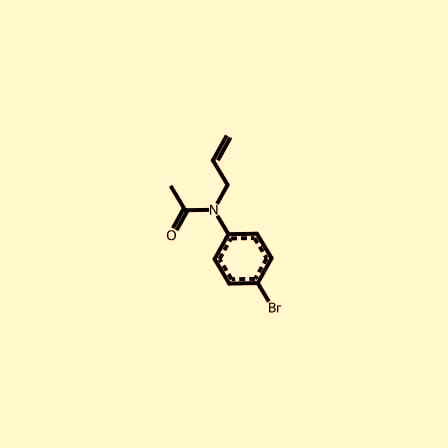 C=CCN(C(C)=O)c1ccc(Br)cc1